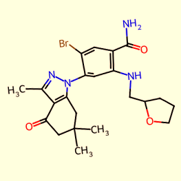 Cc1nn(-c2cc(NCC3CCCO3)c(C(N)=O)cc2Br)c2c1C(=O)CC(C)(C)C2